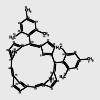 Cc1cc(C)c(-c2c3nc(c(-c4c(C)cc(C)cc4C)c4ccc(cc5nc(cc6ccc2[nH]6)C=C5)[nH]4)C=C3)c(C)c1